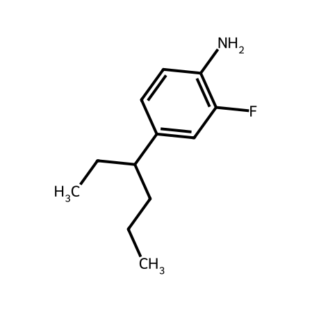 CCCC(CC)c1ccc(N)c(F)c1